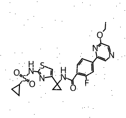 CCOc1cncc(-c2ccc(C(=O)NC3(c4csc(NS(=O)(=O)C5CC5)n4)CC3)c(F)c2)n1